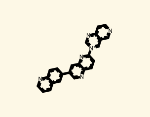 c1cnc2ccc(-c3cnc4ccc(-[n+]5cnc6ccncc6c5)nc4c3)cc2c1